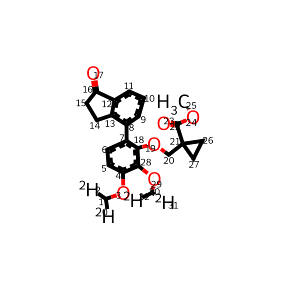 [2H]C([2H])Oc1ccc(-c2cccc3c2CCC3=O)c(OCC2(C(=O)OC)CC2)c1OC([2H])[2H]